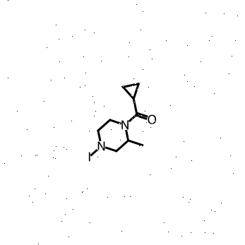 CC1CN(I)CCN1C(=O)C1CC1